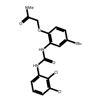 CNC(=O)COc1ccc(C(C)(C)C)cc1NC(=O)Nc1cccc(Cl)c1Cl